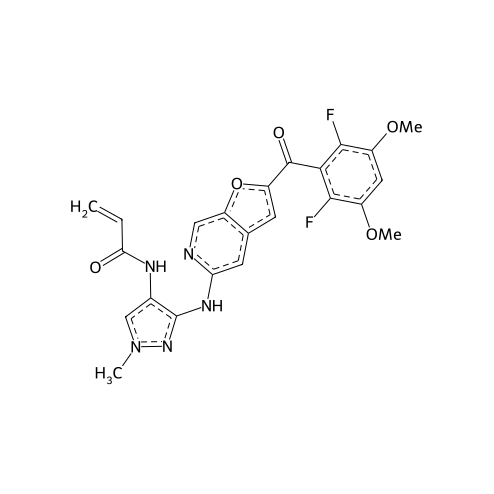 C=CC(=O)Nc1cn(C)nc1Nc1cc2cc(C(=O)c3c(F)c(OC)cc(OC)c3F)oc2cn1